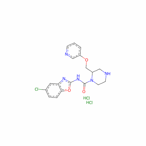 Cl.Cl.O=C(Nc1nc2cc(Cl)ccc2o1)N1CCNCC1COc1cccnc1